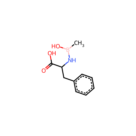 CB(O)NC(Cc1ccccc1)C(=O)O